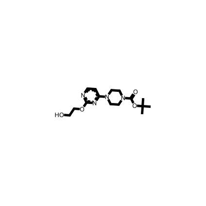 CC(C)(C)OC(=O)N1CCN(c2ccnc(OCCO)n2)CC1